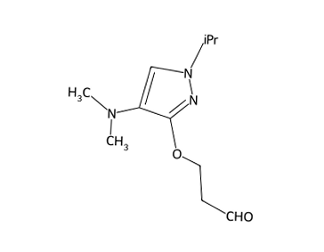 CC(C)n1cc(N(C)C)c(OCCC=O)n1